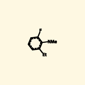 CCc1cccc(F)c1NC